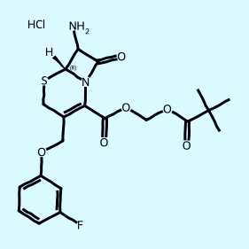 CC(C)(C)C(=O)OCOC(=O)C1=C(COc2cccc(F)c2)CS[C@@H]2C(N)C(=O)N12.Cl